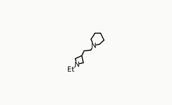 CCN1CC(CCN2CCCCC2)C1